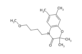 COCCCCN1C(=O)C(C)(C)Oc2cc(C)c(C)cc21